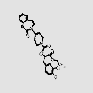 CCOC(=O)[C@@H](Cc1ccc(Cl)c(Cl)c1)OC(=O)N1CCC(N2CCc3ccccc3NC2=O)CC1